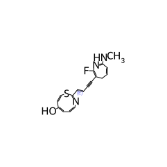 CNC1=NC(F)=C(C#C/C=C/c2ncccc(O)ccs2)CC=C1